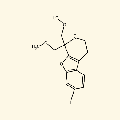 COCC1(COC)NCCc2c1oc1cc(I)ccc21